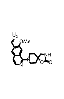 C=Cc1cc2ccnc(N3CCC4(CC3)CNC(=O)O4)c2cc1OC